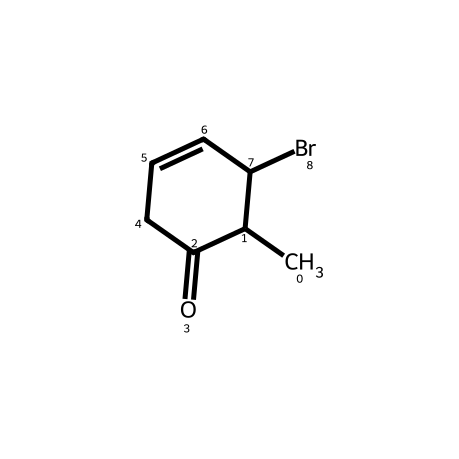 CC1C(=O)CC=CC1Br